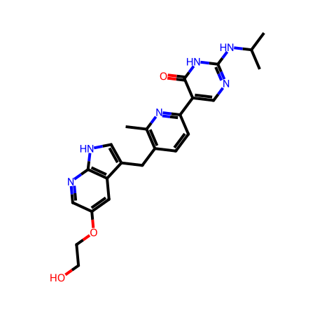 Cc1nc(-c2cnc(NC(C)C)[nH]c2=O)ccc1Cc1c[nH]c2ncc(OCCO)cc12